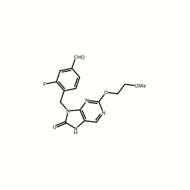 COCCOc1ncc2[nH]c(=O)n(Cc3ccc(C=O)cc3F)c2n1